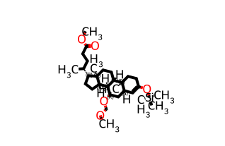 COCO[C@@H]1C[C@@H]2C=C(O[Si](C)(C)C)CC[C@]2(C)[C@H]2CC[C@]3(C)[C@@H](C(C)CCC(=O)OC)CC[C@H]3[C@H]12